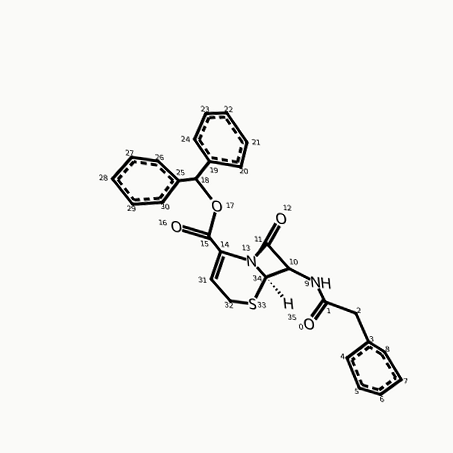 O=C(Cc1ccccc1)NC1C(=O)N2C(C(=O)OC(c3ccccc3)c3ccccc3)=CCS[C@H]12